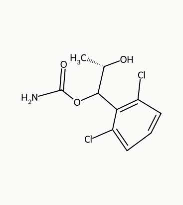 C[C@H](O)C(OC(N)=O)c1c(Cl)cccc1Cl